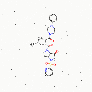 CC(C)CC(CC(=O)N1CCN(c2ccccc2)CC1)C(=O)N1CCC2C1C(=O)CN2S(=O)(=O)c1ccccn1